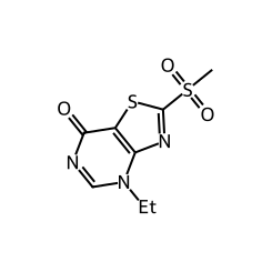 CCn1cnc(=O)c2sc(S(C)(=O)=O)nc21